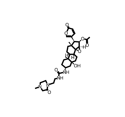 CC(=O)O[C@H]1[C@H]2O[C@]23[C@@H]2CC[C@]4(O)C[C@@H](NC(=O)NCCN5CCN(C)CC5=O)CC[C@]4(C)[C@H]2CC[C@]3(C)[C@H]1c1ccc(=O)oc1